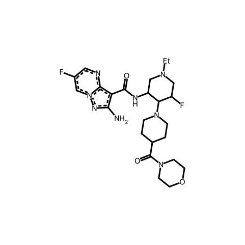 CCN1CC(F)C(N2CCC(C(=O)N3CCOCC3)CC2)C(NC(=O)c2c(N)nn3cc(F)cnc23)C1